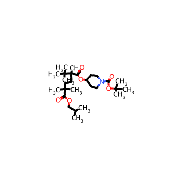 CC(C)COC(=O)C(C)(C)CCC(C)(C(=O)OC1CCN(C(=O)OC(C)(C)C)CC1)C(C)(C)C